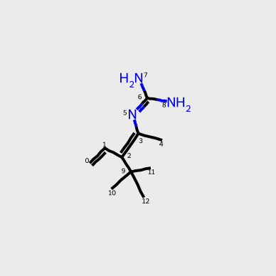 C=C/C(=C(/C)N=C(N)N)C(C)(C)C